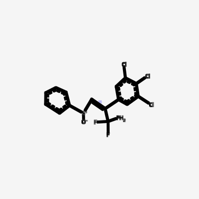 [O-][S+](/C=C(/c1cc(Cl)c(Cl)c(Cl)c1)C(F)(F)P)c1ccccc1